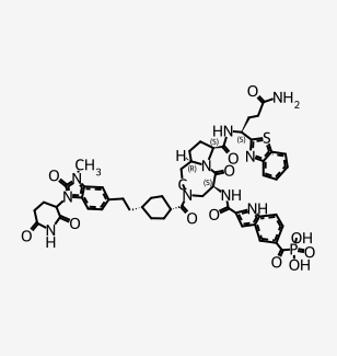 Cn1c(=O)n(C2CCC(=O)NC2=O)c2ccc(CC[C@H]3CC[C@@H](C(=O)N4CC[C@H]5CC[C@@H](C(=O)N[C@@H](CCC(N)=O)c6nc7ccccc7s6)N5C(=O)[C@@H](NC(=O)c5cc6cc(C(=O)P(=O)(O)O)ccc6[nH]5)C4)CC3)cc21